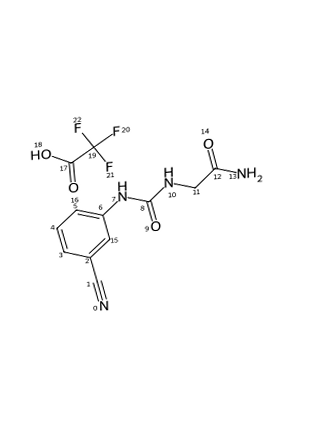 N#Cc1cccc(NC(=O)NCC(N)=O)c1.O=C(O)C(F)(F)F